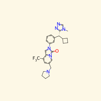 Cn1cnnc1[C@@H](c1cccc(-n2cc3c(C(F)(F)F)cc(CN4CCCC4)cn3c2=O)c1)C1CCC1